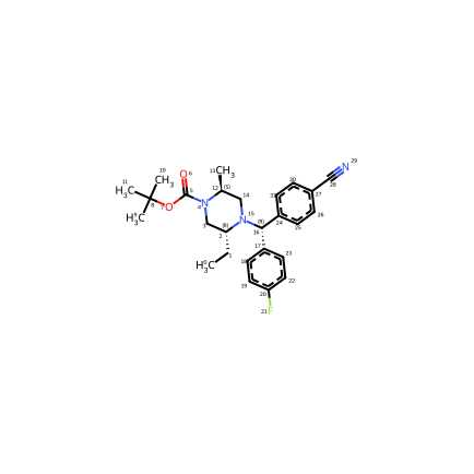 CC[C@@H]1CN(C(=O)OC(C)(C)C)[C@@H](C)CN1[C@@H](c1ccc(F)cc1)c1ccc(C#N)cc1